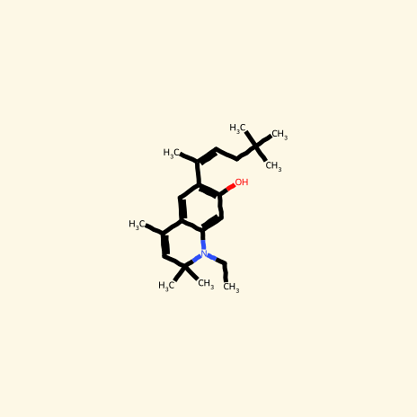 CCN1c2cc(O)c(/C(C)=C\CC(C)(C)C)cc2C(C)=CC1(C)C